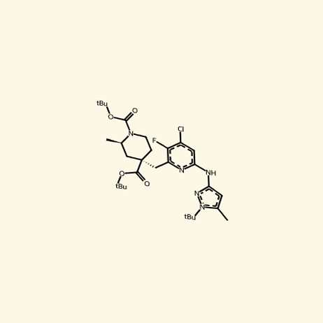 Cc1cc(Nc2cc(Cl)c(F)c(C[C@@]3(C(=O)OC(C)(C)C)CCN(C(=O)OC(C)(C)C)[C@H](C)C3)n2)nn1C(C)(C)C